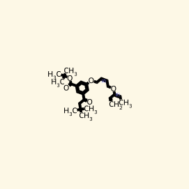 C=C/C(=C\C)OC/C=C\COc1cc(C(=O)CC(C)(C)C)cc(C(=O)OC(C)(C)C)c1